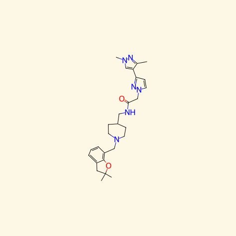 Cc1nn(C)cc1-c1ccn(CC(=O)NCC2CCN(Cc3cccc4c3OC(C)(C)C4)CC2)n1